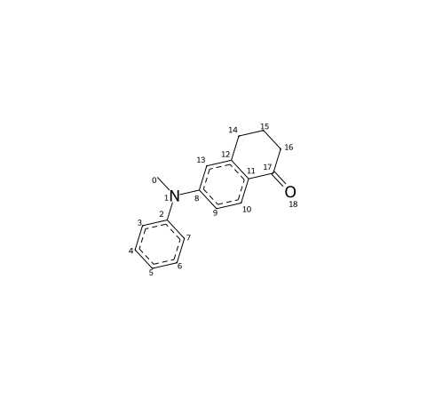 CN(c1ccccc1)c1ccc2c(c1)CCCC2=O